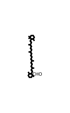 CC1=C(/C=C/C(C)=C/C=C/C(C)=C/C=C/C=C(C)/C=C/C=C(C)/C=C/C2=C(C)CCC[C@]2(C)C=O)C(C)(C)CCC1